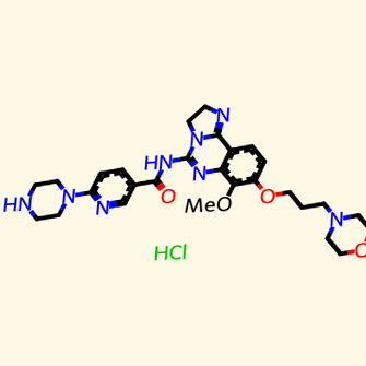 COc1c(OCCCN2CCOCC2)ccc2c1N=C(NC(=O)c1ccc(N3CCNCC3)nc1)N1CCN=C21.Cl